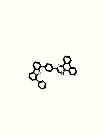 C1=CCCC(c2cccc3c2oc2c(-c4ccc(-c5cnc6c7ccccc7c7ccccc7c6n5)cc4)cccc23)=C1